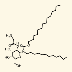 CCCCCCCCCCCCCCOC(=O)N(CCCCCCCCCCCC)[C@@H]1O[C@H](CO)[C@H](O)[C@H](O)[C@H]1NC(=O)CN